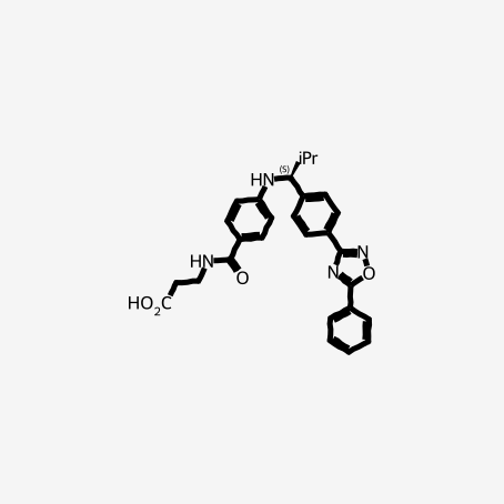 CC(C)[C@H](Nc1ccc(C(=O)NCCC(=O)O)cc1)c1ccc(-c2noc(-c3ccccc3)n2)cc1